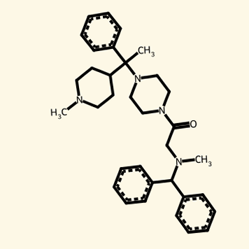 CN1CCC(C(C)(c2ccccc2)N2CCN(C(=O)CN(C)C(c3ccccc3)c3ccccc3)CC2)CC1